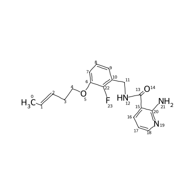 C/C=C/CCOc1cccc(CNC(=O)c2cccnc2N)c1F